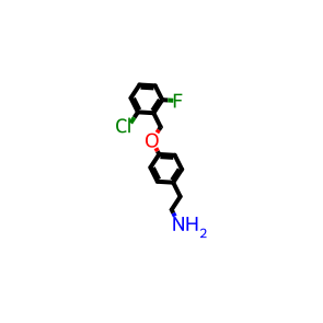 NCCc1ccc(OCc2c(F)cccc2Cl)cc1